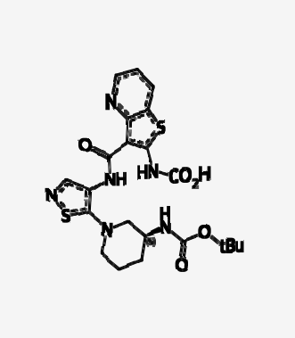 CC(C)(C)OC(=O)N[C@H]1CCCN(c2sncc2NC(=O)c2c(NC(=O)O)sc3cccnc23)C1